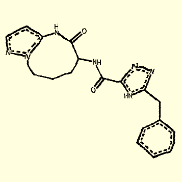 O=C(NC1CCCn2nccc2NC1=O)c1nnc(Cc2ccccc2)[nH]1